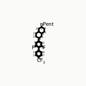 CCCCCC1CCC2CC(c3cc(F)c(-c4ccc(C(F)(F)F)cc4)c(F)c3)CCC2C1